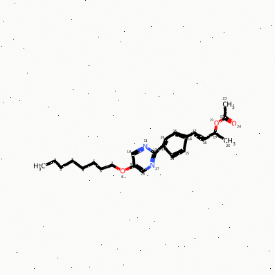 CCCCCCCCOc1cnc(-c2ccc(C=CC(C)OC(C)=O)cc2)nc1